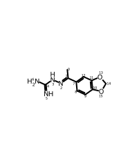 CC(=NNC(=N)N)c1ccc2c(c1)OCO2